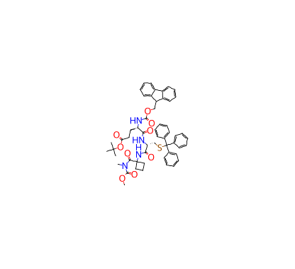 COC(=O)N(C)C(=O)C1(NC(=O)[C@@H](CSC(c2ccccc2)(c2ccccc2)c2ccccc2)NC(=O)[C@@H](CCC(=O)OC(C)(C)C)NC(=O)OCC2c3ccccc3-c3ccccc32)CCC1